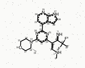 CN/C=C(\C(=N)C(F)(F)F)c1cc(N2CCOC[C@H]2C)nc(-c2ccnc3[nH]ccc23)n1